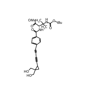 COC(=O)[C@@H](NC(=O)c1ccc(C#CC#CC2CC2(CO)CO)cc1)C(C)(C)NC(=O)OC(C)(C)C